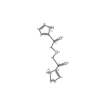 O=C(COCC(=O)c1ccc[nH]1)c1ccc[nH]1